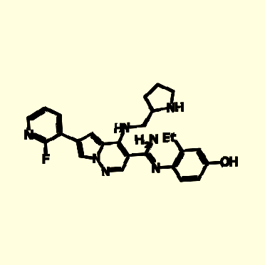 CCc1cc(O)ccc1/N=C(\N)c1cnn2cc(-c3cccnc3F)cc2c1NC[C@H]1CCCN1